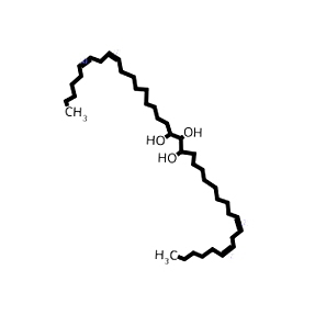 CCCCC/C=C\C/C=C\CCCCCCCCC(O)C(O)C(O)CCCCCCCC/C=C\C/C=C\CCCCC